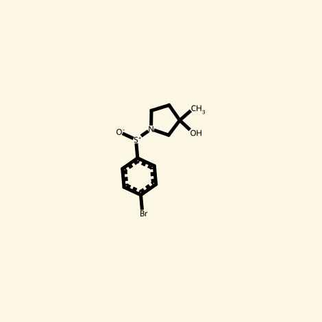 CC1(O)CCN([S+]([O-])c2ccc(Br)cc2)C1